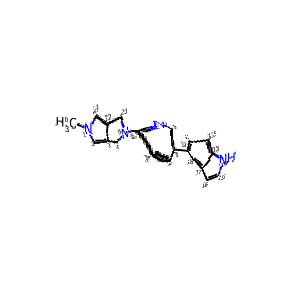 CN1C=C2CN(c3ccc(-c4ccc5[nH]ccc5c4)cn3)CC2C1